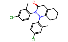 Cc1cc(Cl)ccc1N1C(=O)CC2=C(CCCC2)N1c1ccc(Cl)cc1C